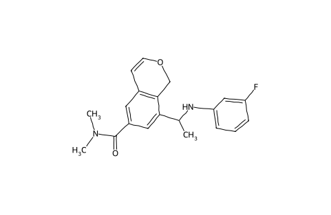 CC(Nc1cccc(F)c1)c1cc(C(=O)N(C)C)cc2c1COC=C2